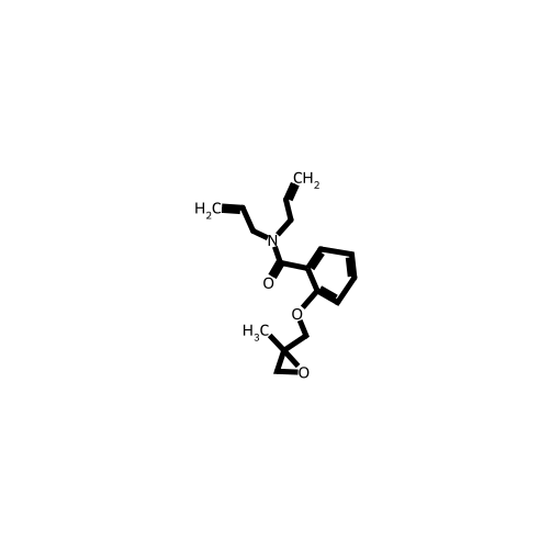 C=CCN(CC=C)C(=O)c1ccccc1OCC1(C)CO1